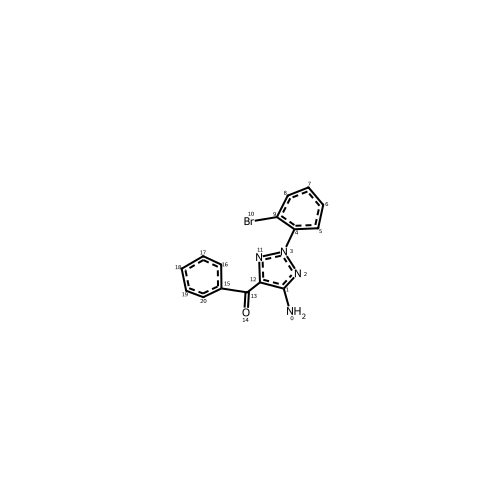 Nc1nn(-c2ccccc2Br)nc1C(=O)c1ccccc1